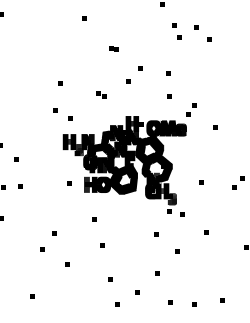 COc1cc2c(cc1Nc1ncc(C(N)=O)c(Nc3c(O)cccc3F)n1)CN(C)CC2